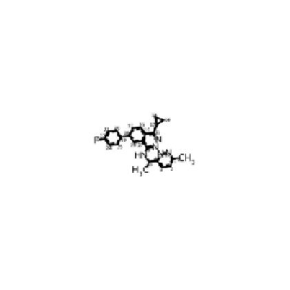 Cc1ccc([C@@H](C)Nc2nnc(C3CC3)c3ccc(-c4ccc(F)cc4)cc23)nn1